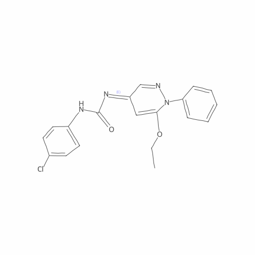 CCOc1c/c(=N\C(=O)Nc2ccc(Cl)cc2)cnn1-c1ccccc1